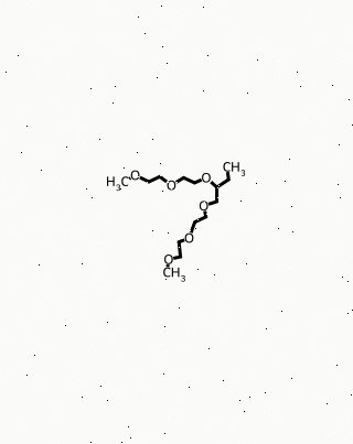 CCC(COCCOCCOC)OCCOCCOC